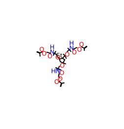 C=C(C)C(=O)OCC(=O)NC(C)(C)COC1CC(C)(OCC(C)(C)NC(=O)COC(=O)C(=C)C)CC1(CC)C(C)(C)OCC(C)(C)NC(=O)COC(=O)C(=C)C